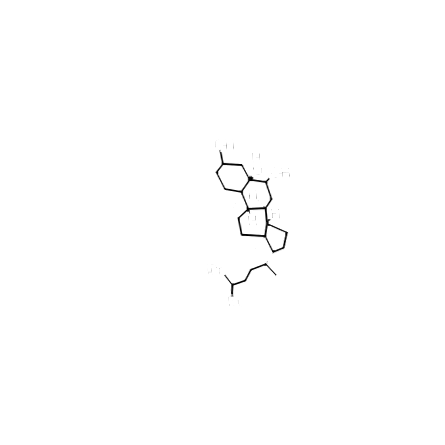 CCC(CCC(C)[C@H]1CC[C@H]2[C@@H]3CC(O)C4(O)CC(O)CC[C@]4(C)[C@H]3CC[C@]12C)C(C)C